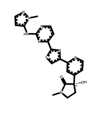 CN1CC[C@](O)(c2ccnc(-c3csc(-c4ccnc(Nc5ccnn5C)n4)n3)c2)C1=O